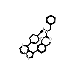 N#CC1CC=C(c2nccn3ncc(-c4ccc(F)c(NC(=O)OCc5ccccc5)c4)c23)CC1